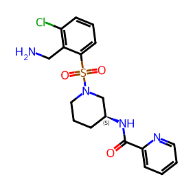 NCc1c(Cl)cccc1S(=O)(=O)N1CCC[C@H](NC(=O)c2ccccn2)C1